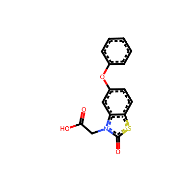 O=C(O)Cn1c(=O)sc2ccc(Oc3ccccc3)cc21